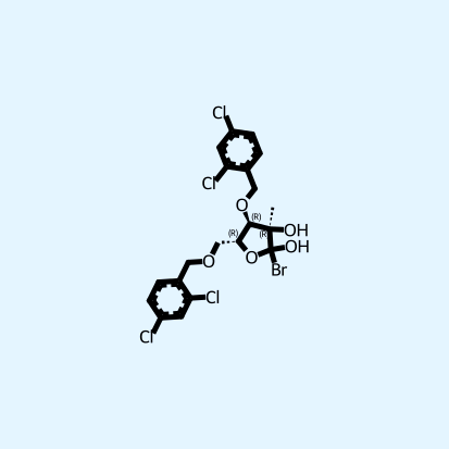 C[C@@]1(O)[C@H](OCc2ccc(Cl)cc2Cl)[C@@H](COCc2ccc(Cl)cc2Cl)OC1(O)Br